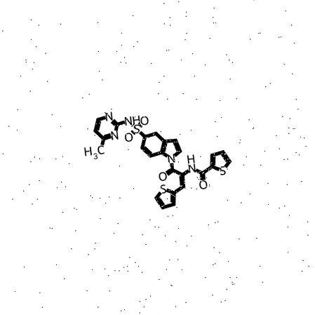 Cc1ccnc(NS(=O)(=O)C2C=Cc3c(ccn3C(=O)/C(=C\c3cccs3)NC(=O)c3cccs3)C2)n1